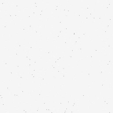 O=S(=O)(NCCN1CCOCC1)c1ccc(Nc2nccc(-c3ccc(Br)cc3)n2)cc1